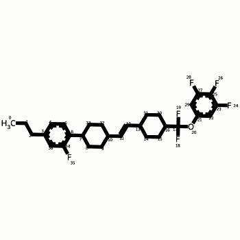 CCCc1ccc(C2CCC(/C=C/C3CCC(C(F)(F)Oc4cc(F)c(F)c(F)c4)CC3)CC2)c(F)c1